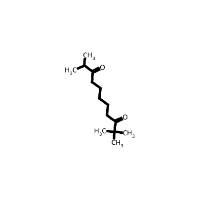 CC(C)C(=O)CCCCCC(=O)C(C)(C)C